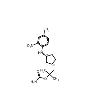 Cc1ccc(N[C@H]2CC[C@H](CC(C)(C)OC(N)=O)C2)c([N+](=O)[O-])c1